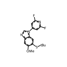 COc1cc2ncn(-c3cc(F)nc(F)c3)c2cc1SC(C)(C)C